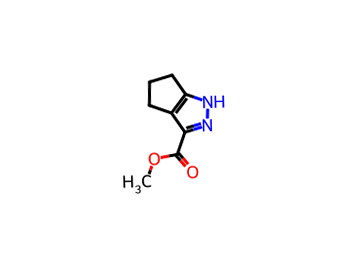 COC(=O)c1n[nH]c2c1CCC2